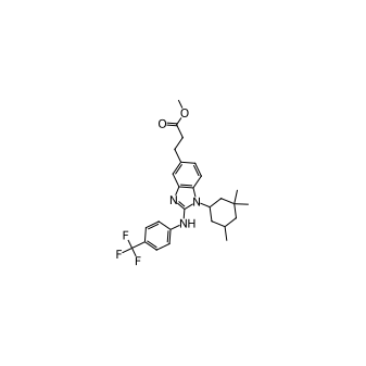 COC(=O)CCc1ccc2c(c1)nc(Nc1ccc(C(F)(F)F)cc1)n2C1CC(C)CC(C)(C)C1